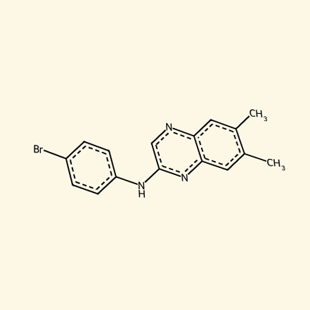 Cc1cc2ncc(Nc3ccc(Br)cc3)nc2cc1C